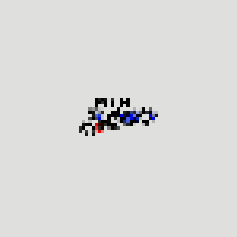 CC(CN(Cc1ccccc1)C(=O)c1ccc(N2CCN(c3ccncc3)CC2)cc1)C(=O)O